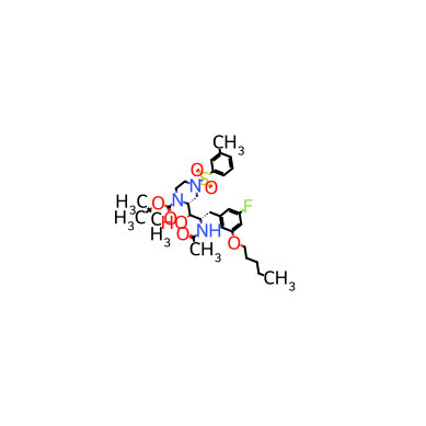 CCCCCOc1cc(F)cc(C[C@H](NC(C)=O)[C@H](O)[C@H]2CN(S(=O)(=O)c3cccc(C)c3)CCN2C(=O)OC(C)(C)C)c1